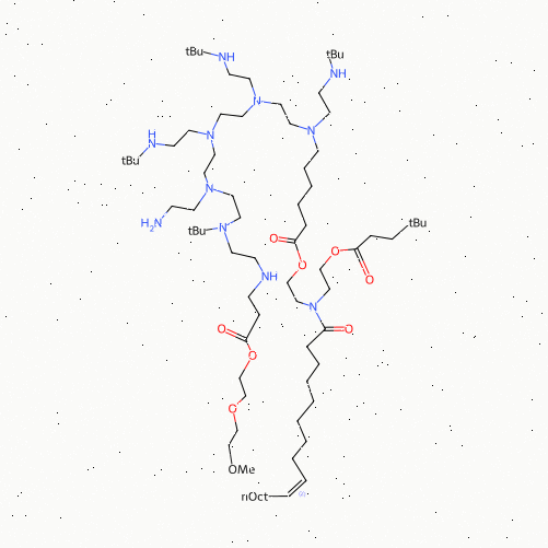 CCCCCCCC/C=C\CCCCCCCC(=O)N(CCOC(=O)CCCCCN(CCNC(C)(C)C)CCN(CCNC(C)(C)C)CCN(CCNC(C)(C)C)CCN(CCN)CCN(CCNCCC(=O)OCCOCCOC)C(C)(C)C)CCOC(=O)CCC(C)(C)C